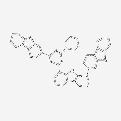 c1ccc(-c2nc(-c3ccc4c(c3)oc3ccccc34)nc(-c3cccc4c3oc3c(-c5ccc6c(c5)oc5ccccc56)cccc34)n2)cc1